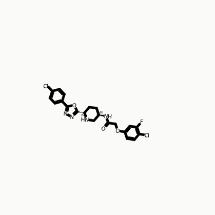 O=C(COc1ccc(Cl)c(F)c1)N[C@@H]1CC[C@@H](c2nnc(-c3ccc(Cl)cc3)o2)NC1